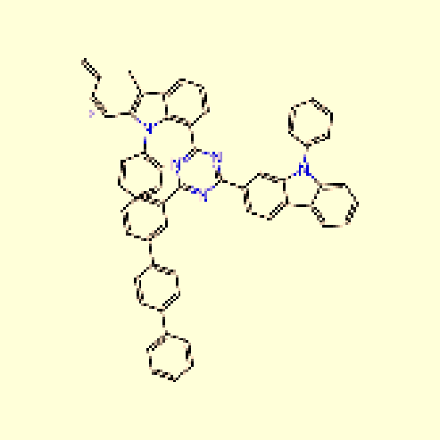 C=C/C=C\c1c(C)c2cccc(-c3nc(-c4cccc(-c5ccc(-c6ccccc6)cc5)c4)nc(-c4ccc5c6ccccc6n(-c6ccccc6)c5c4)n3)c2n1-c1ccccc1